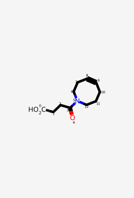 O=C(O)CCC(=O)N1CCC#CCCC1